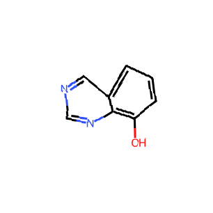 Oc1cccc2cncnc12